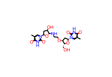 Cc1cn(C2CC(O)C(NCCO[C@H]3C[C@H](n4cc(C)c(=O)[nH]c4=O)O[C@@H]3CO)O2)c(=O)[nH]c1=O